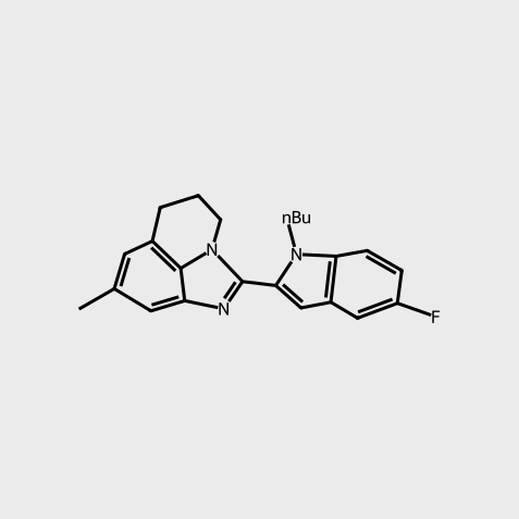 CCCCn1c(-c2nc3cc(C)cc4c3n2CCC4)cc2cc(F)ccc21